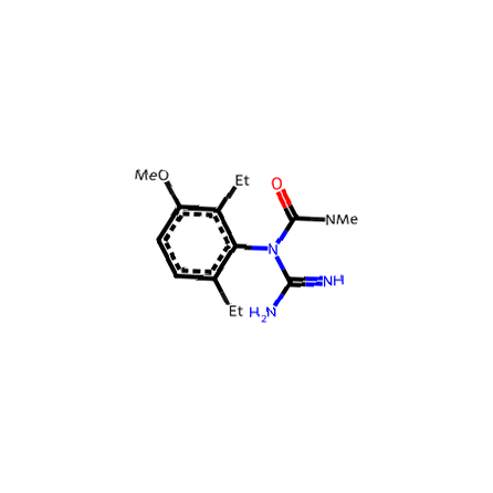 CCc1ccc(OC)c(CC)c1N(C(=N)N)C(=O)NC